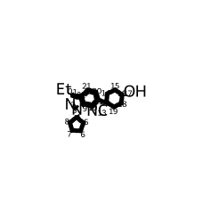 CCc1nn(C2CCCC2)c2cc(C3(C#N)CCC(O)CC3)ccc12